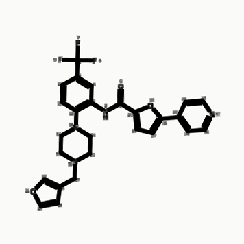 O=C(Nc1cc(C(F)(F)F)ccc1N1CCN(Cc2ccoc2)CC1)c1ccc(-c2ccncc2)o1